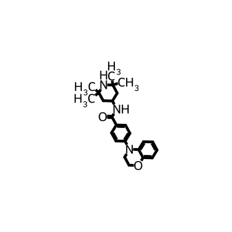 CC1(C)CC(NC(=O)c2ccc(N3CCOc4ccccc43)cc2)CC(C)(C)N1